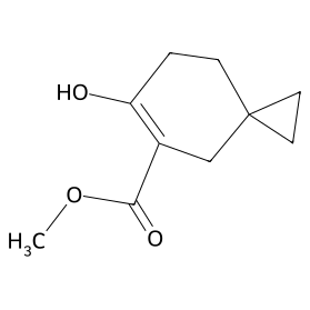 COC(=O)C1=C(O)CCC2(CC2)C1